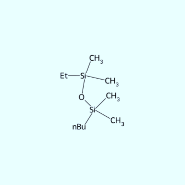 CCCC[Si](C)(C)O[Si](C)(C)CC